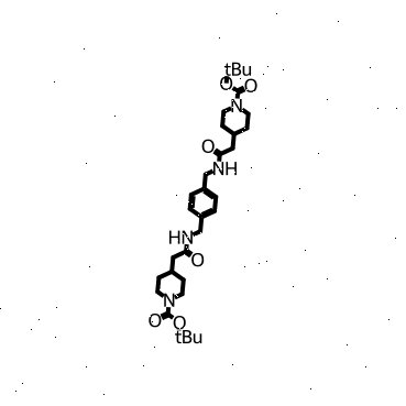 CC(C)(C)OC(=O)N1CCC(CC(=O)NCc2ccc(CNC(=O)CC3CCN(C(=O)OC(C)(C)C)CC3)cc2)CC1